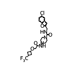 O=C(COC1CC(C(F)(F)F)C1)NN1CCN(C(=O)NCc2cc3cc(Cl)ccc3o2)CC1